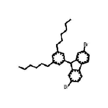 CCCCCCc1cc(CCCCCC)cc(C2c3cc(Br)ccc3-c3ccc(Br)cc32)c1